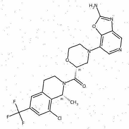 C[C@@H]1c2c(Cl)cc(C(F)(F)F)cc2CCN1C(=O)[C@H]1CN(c2cncc3nc(N)oc23)CCO1